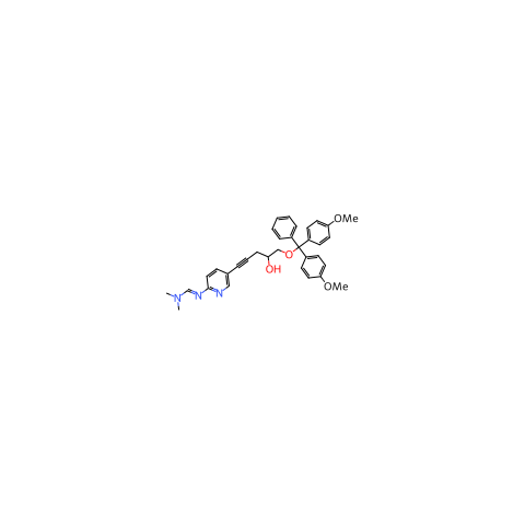 COc1ccc(C(OCC(O)CC#Cc2ccc(N=CN(C)C)nc2)(c2ccccc2)c2ccc(OC)cc2)cc1